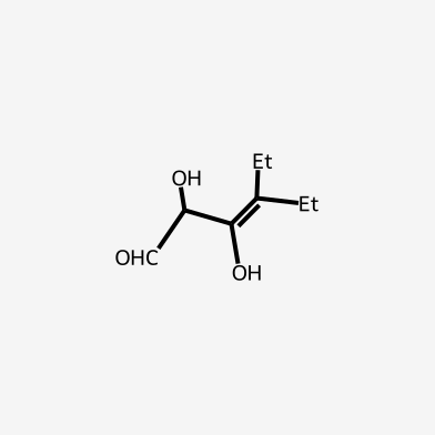 CCC(CC)=C(O)C(O)C=O